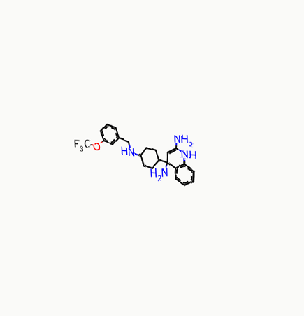 NC1=CC(N)(C2CCC(NCc3cccc(OC(F)(F)F)c3)CC2)c2ccccc2N1